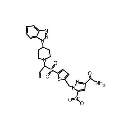 C=CC(N1CCC(n2nnc3ccccc32)CC1)S(=O)(=O)c1ccc(Cn2nc(C(N)=O)cc2[N+](=O)[O-])s1